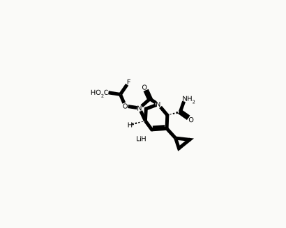 NC(=O)[C@@H]1C(C2CC2)=C[C@@H]2CN1C(=O)N2OC(F)C(=O)O.[LiH]